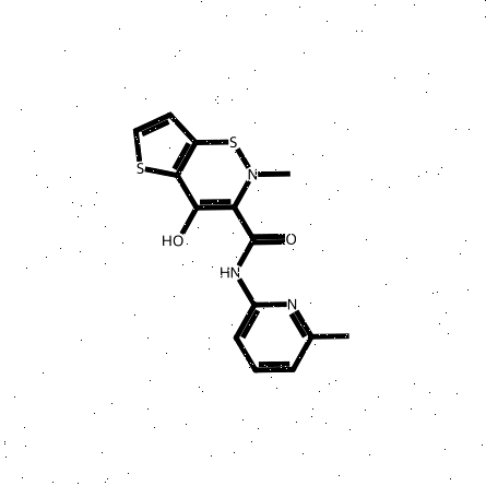 Cc1cccc(NC(=O)C2=C(O)c3sccc3SN2C)n1